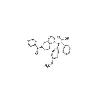 COc1ccc(C(c2cccc3c2CCN(C(=O)c2ccccc2)C3)C(C(=O)O)c2ccccc2)cc1